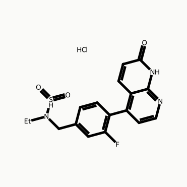 CCN(Cc1ccc(-c2ccnc3[nH]c(=O)ccc23)c(F)c1)[SH](=O)=O.Cl